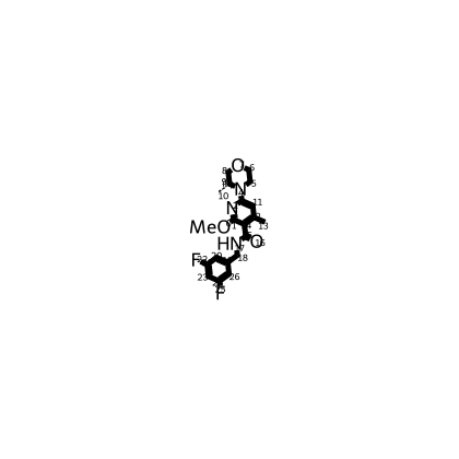 COc1nc(N2CCOC[C@H]2C)cc(C)c1C(=O)NCc1cc(F)cc(F)c1